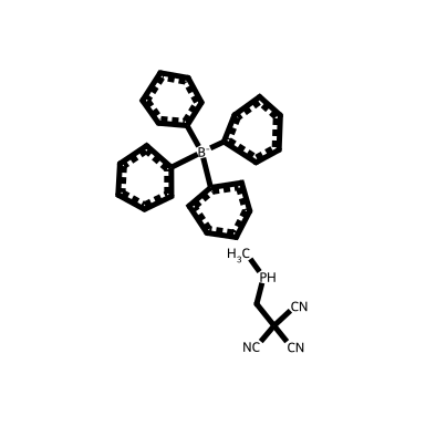 CPCC(C#N)(C#N)C#N.c1ccc([B-](c2ccccc2)(c2ccccc2)c2ccccc2)cc1